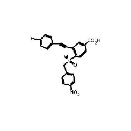 O=C(O)c1ccc(S(=O)(=O)Cc2ccc([N+](=O)[O-])cc2)c(C#Cc2ccc(F)cc2)c1